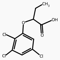 CCC(Oc1cc(Cl)cc(Cl)c1Cl)C(=O)O